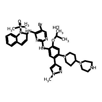 CC(C)Oc1cc(N2CCC(N3CCNCC3)CC2)c(-c2cnn(C)c2)cc1Nc1ncc(Br)c(NC2C=Cc3ccccc3N2P(C)(C)=O)n1.Cl